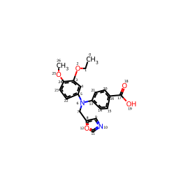 CCOc1cc(N(Cc2cnco2)c2ccc(C(=O)O)cc2)ccc1OC